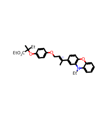 CCOC(=O)C(C)(CC)Oc1ccc(OC/C=C(\C)c2ccc3c(c2)N(CC)c2ccccc2O3)cc1